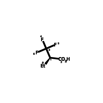 CC[C@H](C(=O)O)C(F)(F)F